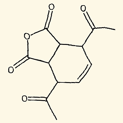 CC(=O)C1C=CC(C(C)=O)C2C(=O)OC(=O)C12